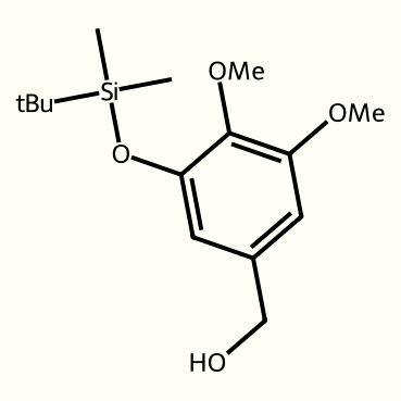 COc1cc(CO)cc(O[Si](C)(C)C(C)(C)C)c1OC